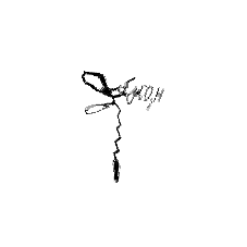 C=CCCCCCCCCC(=O)c1c(OC(=O)O)n(C)c2ccccc12